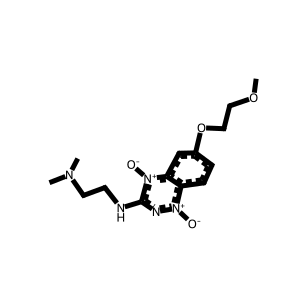 COCCOc1ccc2c(c1)[n+]([O-])c(NCCN(C)C)n[n+]2[O-]